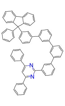 c1ccc(-c2cc(-c3ccccc3)nc(-c3cccc(-c4cccc(-c5cccc(-c6cccc(C7(c8ccccc8)c8ccccc8-c8ccccc87)c6)c5)c4)c3)n2)cc1